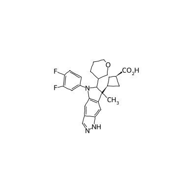 CC1([C@H]2C[C@@H](C(=O)O)C2)c2cc3[nH]ncc3cc2N(c2ccc(F)c(F)c2)C1C1CCCOC1